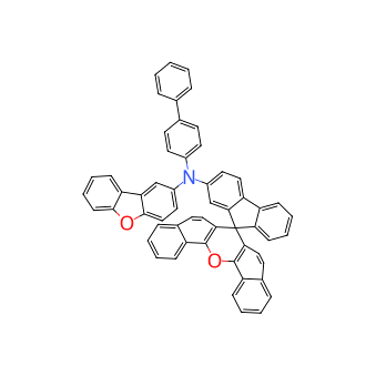 c1ccc(-c2ccc(N(c3ccc4c(c3)C3(c5ccccc5-4)c4ccc5ccccc5c4Oc4c3ccc3ccccc43)c3ccc4oc5ccccc5c4c3)cc2)cc1